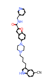 N#Cc1ccc2[nH]cc(CCCCN3CCN(c4ccc5oc(C(=O)NCc6cccnc6)cc5c4)CC3)c2c1